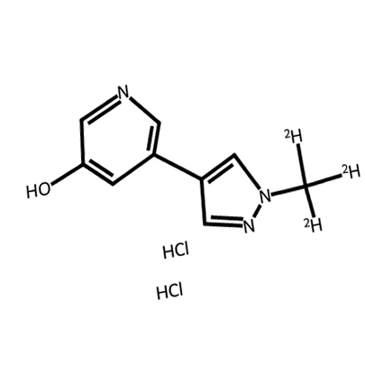 Cl.Cl.[2H]C([2H])([2H])n1cc(-c2cncc(O)c2)cn1